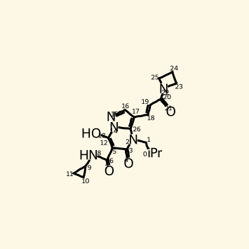 CC(C)Cn1c(=O)c(C(=O)NC2CC2)c(O)n2ncc(C=CC(=O)N3CCC3)c12